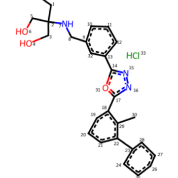 CCC(CO)(CO)NCc1cccc(-c2nnc(-c3cccc(-c4ccccc4)c3C)o2)c1.Cl